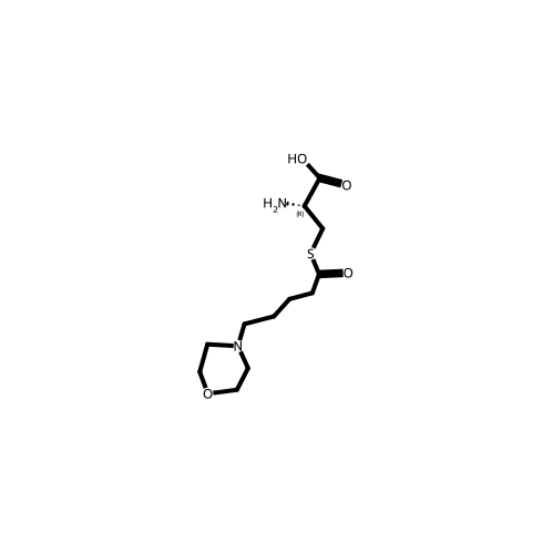 N[C@@H](CSC(=O)CCCCN1CCOCC1)C(=O)O